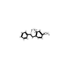 Cc1ccc(C[C@@H](F)c2ccccc2)c(F)c1